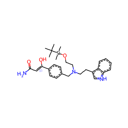 CC(C)(C)[Si](C)(C)OCCN(CCc1c[nH]c2ccccc12)Cc1ccc(/C(O)=C/C(N)=O)cc1